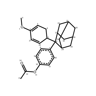 COC1=CCC(C2(c3ccc(OC(C)=O)cc3)C3CC4CC(C3)CC2C4)C=C1